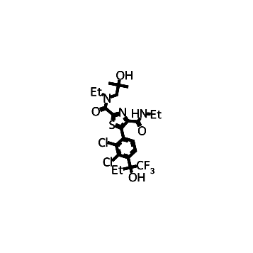 CCNC(=O)c1nc(C(=O)N(CC)CC(C)(C)O)sc1-c1ccc(C(O)(CC)C(F)(F)F)c(Cl)c1Cl